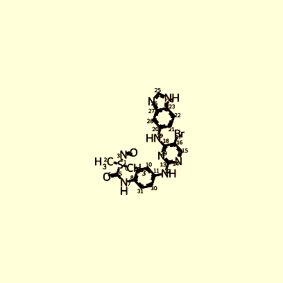 CS(C)(N=O)C(=O)Nc1ccc(Nc2ncc(Br)c(Nc3ccc4[nH]cnc4c3)n2)cc1